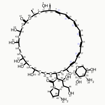 C[C@H]1C[C@H](O)[C@@H](C)/C=C/C=C/C=C/C=C/C=C/C=C/C=C/C(O[C@@H]2OC[C@@H](O)[C@H](N)[C@@H]2O)C[C@@H]([C@H](C(=O)N2CC[C@@H](N)C2)[C@@H](O)CCO)OCCC(O)CC(O)C(O)CCC(O)CC(O)CC(=O)O1